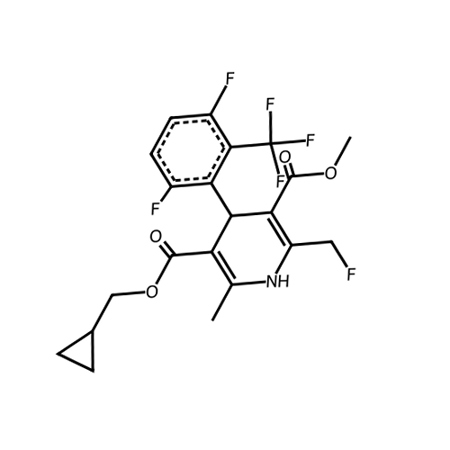 COC(=O)C1=C(CF)NC(C)=C(C(=O)OCC2CC2)C1c1c(F)ccc(F)c1C(F)(F)F